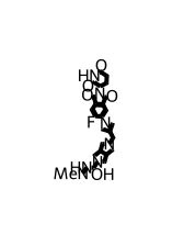 CNNC(O)N1CC2CN(CC3CN(c4cc5c(cc4F)C(=O)N(C4CCC(=O)NC4=O)C5=O)C3)CC2C1